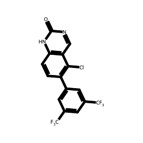 O=c1ncc2c(Cl)c(-c3cc(C(F)(F)F)cc(C(F)(F)F)c3)ccc2[nH]1